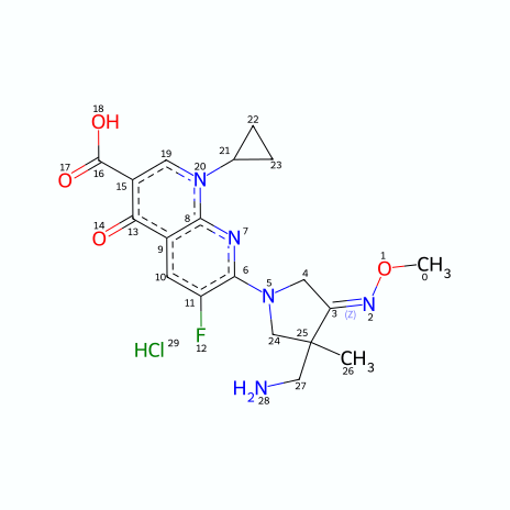 CO/N=C1\CN(c2nc3c(cc2F)c(=O)c(C(=O)O)cn3C2CC2)CC1(C)CN.Cl